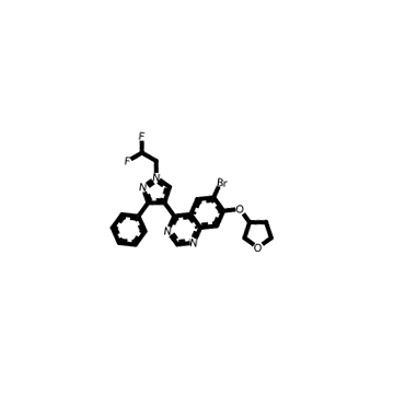 FC(F)Cn1cc(-c2ncnc3cc(OC4CCOC4)c(Br)cc23)c(-c2ccccc2)n1